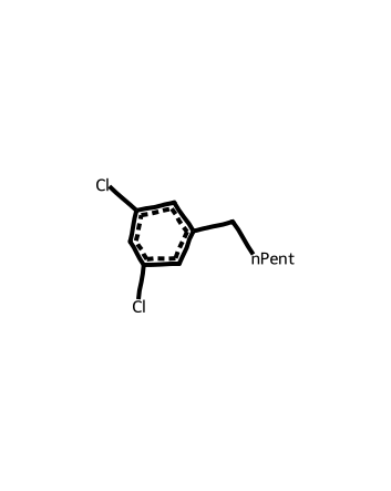 CCCCCCc1cc(Cl)cc(Cl)c1